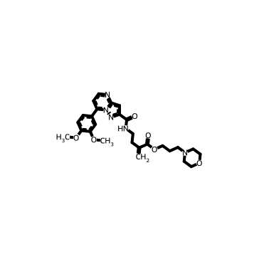 C=C(CCNC(=O)c1cc2nccc(-c3ccc(OC)c(OC)c3)n2n1)C(=O)OCCCN1CCOCC1